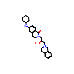 O=C1c2ccc(NC3CCCCC3)cc2CCN1CC(O)CN1CCc2ccccc2C1